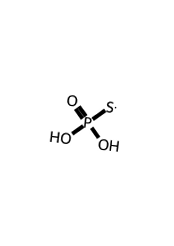 O=P(O)(O)[S]